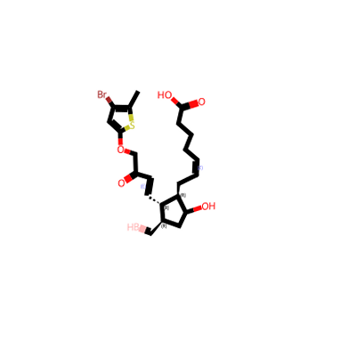 B=C[C@@H]1CC(O)[C@H](C/C=C\CCCC(=O)O)[C@H]1/C=C/C(=O)COc1cc(Br)c(C)s1